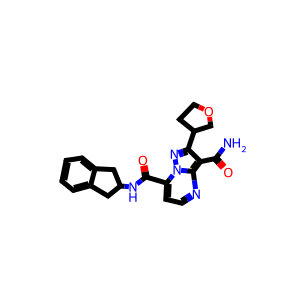 NC(=O)c1c(C2CCOC2)nn2c(C(=O)NC3Cc4ccccc4C3)ccnc12